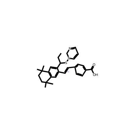 CCC(SN1C=CC=NC1)c1cc2c(cc1/C=C/c1ccc(C(=O)O)cc1)C(C)(C)CCC2(C)C